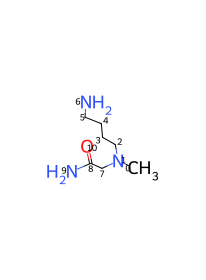 CN(CCCCN)CC(N)=O